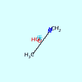 C=CN1C=CN(CCCCCCCCCCCCCCCCCCCCCCCC)C1.O=C(O)C(F)(F)F